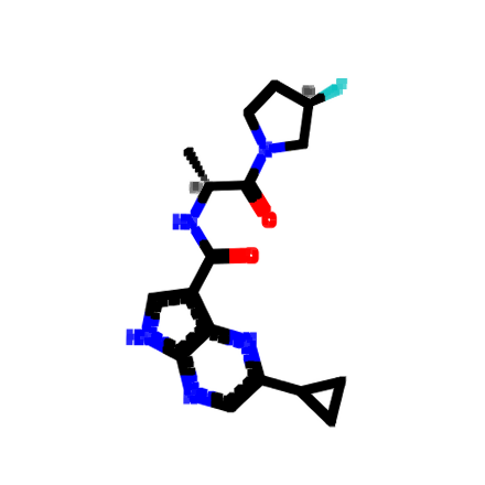 C[C@@H](NC(=O)c1c[nH]c2ncc(C3CC3)nc12)C(=O)N1CC[C@@H](F)C1